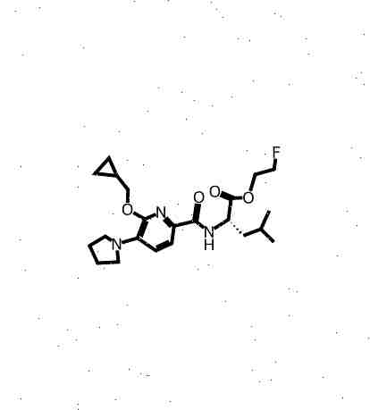 CC(C)C[C@H](NC(=O)c1ccc(N2CCCC2)c(OCC2CC2)n1)C(=O)OCCF